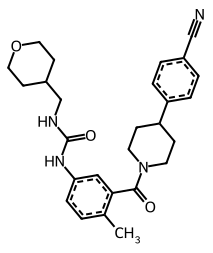 Cc1ccc(NC(=O)NCC2CCOCC2)cc1C(=O)N1CCC(c2ccc(C#N)cc2)CC1